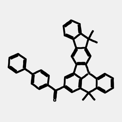 CC1(C)c2ccccc2-c2cc3c4cc(C(=O)c5ccc(-c6ccccc6)cc5)cc5c4n(c3cc21)-c1ccccc1C5(C)C